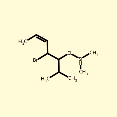 C/C=C\C(Br)C(O[SiH](C)C)C(C)C